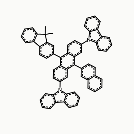 CC1(C)c2ccccc2-c2ccc(-c3c4ccc(-n5c6ccccc6c6ccccc65)cc4c(-c4ccc5ccccc5c4)c4cc(-n5c6ccccc6c6ccccc65)ccc34)cc21